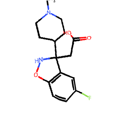 CN1CCC(C2(CC(=O)O)NOc3ccc(F)cc32)CC1